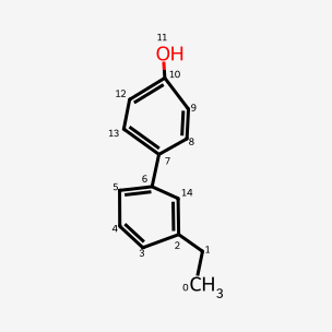 CCc1cccc(-c2ccc(O)cc2)c1